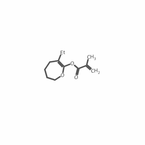 C=C(C)C(=O)OC1=C(CC)CCCCO1